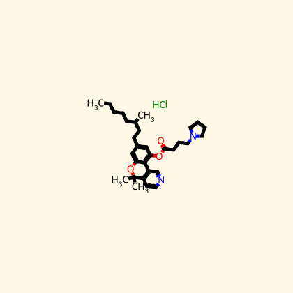 CCCCCC(C)CCc1cc(OC(=O)CCCN2CCCC2)c2c(c1)OC(C)(C)c1ccncc1-2.Cl